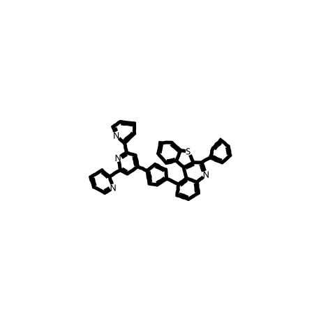 c1ccc(-c2nc3cccc(-c4ccc(-c5cc(-c6ccccn6)nc(-c6ccccn6)c5)cc4)c3c3c2sc2ccccc23)cc1